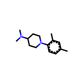 Cc1ccc(N2CCC(N(C)C)CC2)c(C)c1